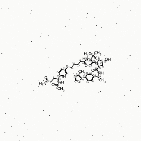 CC(=O)N[C@@H](CCC(N)=O)c1ccc(CCCCCC(=O)N[C@H](C(=O)N2C[C@H](O)C[C@H]2C(=O)N[C@@H](C)c2ccc(-c3scnc3C)cc2)C(C)(C)C)cn1